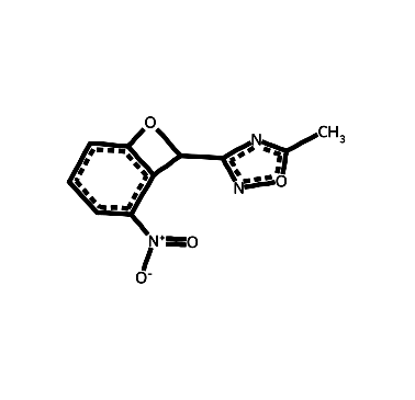 Cc1nc(C2Oc3cccc([N+](=O)[O-])c32)no1